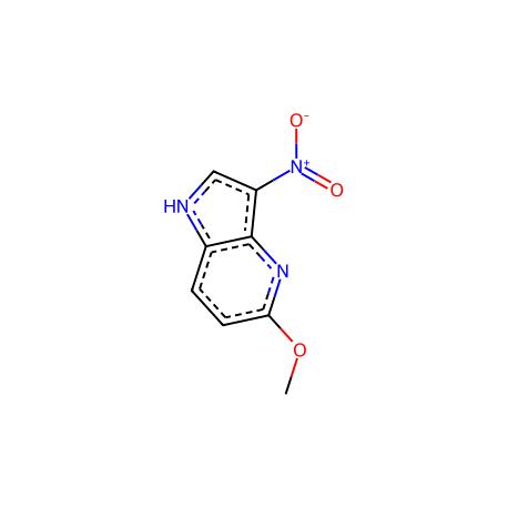 COc1ccc2[nH]cc([N+](=O)[O-])c2n1